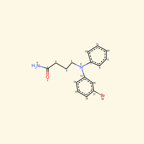 NC(=O)CCCN(c1ccccc1)c1cccc(Br)c1